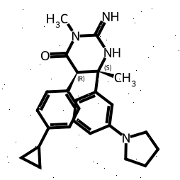 CN1C(=N)N[C@](C)(c2cccc(N3CCCC3)c2)[C@@H](c2ccc(C3CC3)cc2)C1=O